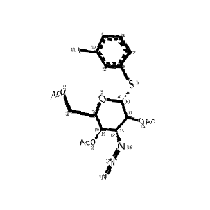 CC(=O)OCC1O[C@H](Sc2cccc(I)c2)C(OC(C)=O)[C@@H](N=[N+]=[N-])[C@H]1OC(C)=O